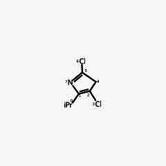 CC(C)C1=C(Cl)CC(Cl)=N1